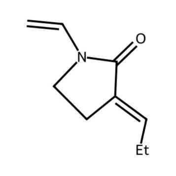 C=CN1CCC(=CCC)C1=O